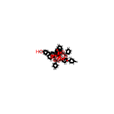 Cc1ccc(CC[Si]2(C)O[Si]3(c4ccccc4)O[Si]4(c5ccccc5)O[Si]5(c6ccccc6)O[Si](C)(CCc6ccc(O)cc6)O[Si]6(c7ccccc7)O[Si](c7ccccc7)(O[Si](c7ccccc7)(O2)O[Si](c2ccccc2)(O6)O[Si](c2ccccc2)(O3)O5)O4)cc1